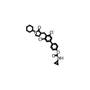 O=C(NC1CC1)Oc1ccc(-c2cc(Cl)c(CC3CCN(C4CCCCC4)C3=O)c(Cl)c2)cc1